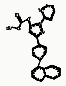 CC(C)(C)OC(=O)Oc1cc(-c2ccc(-c3cccc4ccccc34)cc2)nn1-c1ccccn1